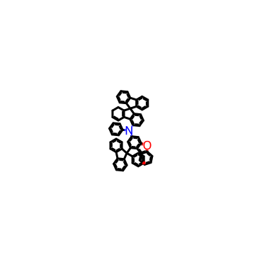 C1=CC2=C(CC1)C1(c3ccccc3-c3ccccc31)c1cccc(N(c3ccccc3)c3cc(C4(c5ccccc5)c5ccccc5-c5ccccc54)c4c(c3)oc3ccccc34)c12